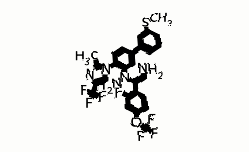 CSc1cccc(-c2ccc(-n3cc(C(F)(F)F)nc3C)c(N(N)/C(=C\N)c3ccc(OC(F)(F)F)cc3F)c2)c1